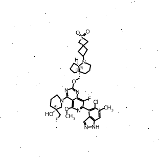 COc1nc(-c2c(Cl)c(C)cc3[nH]ncc23)c(F)c2nc(OC[C@]34CCC[C@H]3N(C3CC5(C3)CS(=O)(=O)C5)CCC4)nc(N3CCC[C@](O)(CF)C3)c12